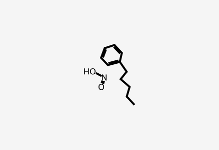 CCCCCc1ccccc1.O=NO